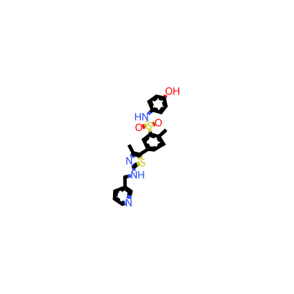 Cc1ccc(-c2sc(NCc3cccnc3)nc2C)cc1S(=O)(=O)Nc1ccc(O)cc1